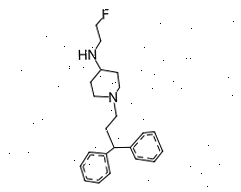 FCCNC1CCN(CCC(c2ccccc2)c2ccccc2)CC1